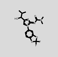 CC(C)C(O)c1cn(-c2ccc3c(c2)OC(F)(F)O3)c(=NC(=O)N(C)C)s1